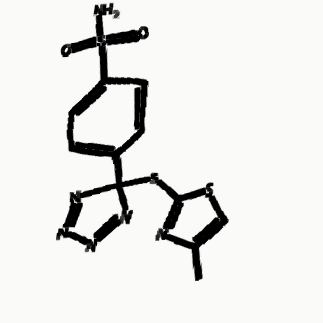 Cc1csc(SC2(c3ccc(S(N)(=O)=O)cc3)N=NN=N2)n1